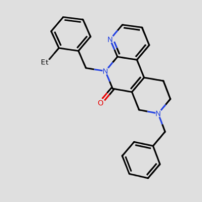 CCc1ccccc1Cn1c(=O)c2c(c3cccnc31)CCN(Cc1ccccc1)C2